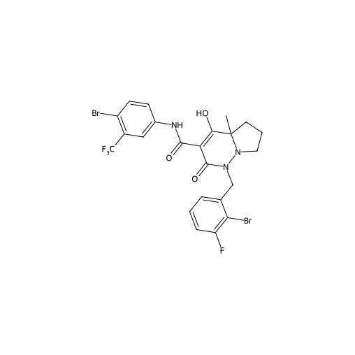 CC12CCCN1N(Cc1cccc(F)c1Br)C(=O)C(C(=O)Nc1ccc(Br)c(C(F)(F)F)c1)=C2O